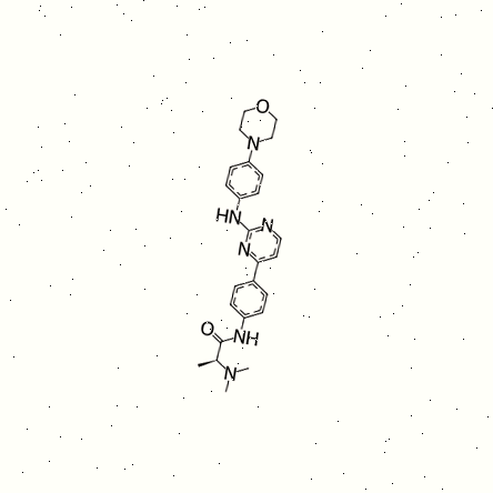 C[C@@H](C(=O)Nc1ccc(-c2ccnc(Nc3ccc(N4CCOCC4)cc3)n2)cc1)N(C)C